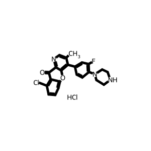 Cc1cnc2c(=O)c3c(Cl)cccc3oc2c1-c1ccc(N2CCNCC2)c(F)c1.Cl